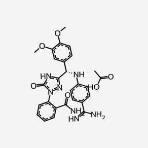 CC(=O)O.COc1ccc([C@H](Nc2ccc(C(=N)N)cc2)c2nn(-c3ccccc3C(N)=O)c(=O)[nH]2)cc1OC